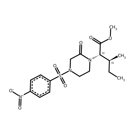 CC[C@H](C)[C@@H](C(=O)OC)N1CCN(S(=O)(=O)c2ccc([N+](=O)[O-])cc2)CC1=O